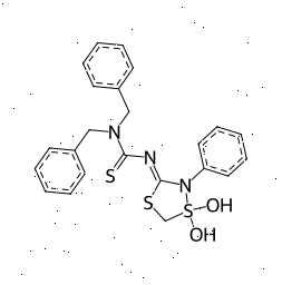 OS1(O)CSC(=NC(=S)N(Cc2ccccc2)Cc2ccccc2)N1c1ccccc1